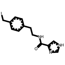 O=C(NCCc1ccc(CI)cc1)c1c[nH]cn1